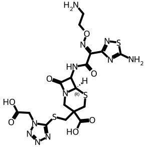 NCCON=C(C(=O)NC1C(=O)N2CC(CSc3nnnn3CC(=O)O)(C(=O)O)CS[C@H]12)c1nsc(N)n1